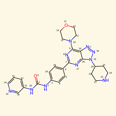 O=C(Nc1ccc(-c2nc(N3CCOCC3)c3nnn(C4CCNCC4)c3n2)cc1)Nc1cccnc1